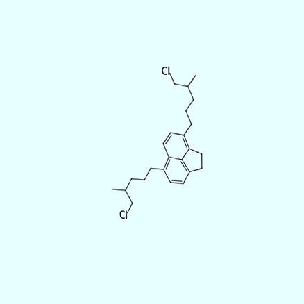 CC(CCl)CCCc1ccc2c(CCCC(C)CCl)ccc3c2c1CC3